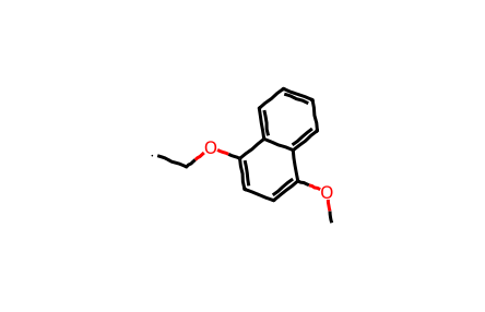 [CH2]COc1ccc(OC)c2ccccc12